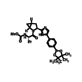 COC(=O)N[C@H](C(=O)N1[C@@H]2C[C@@H]2C[C@H]1c1ncc(-c2ccc(B3OC(C)(C)C(C)(C)O3)cc2)[nH]1)C(C)C